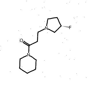 O=C(CCN1CC[C@H](F)C1)N1CCCCC1